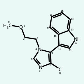 COCCn1cnc(Cl)c1-c1c[nH]c2ccccc12